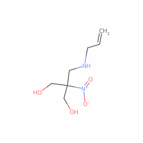 C=CCNCC(CO)(CO)[N+](=O)[O-]